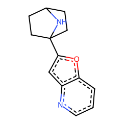 c1cnc2cc(C34CCC(CC3)N4)oc2c1